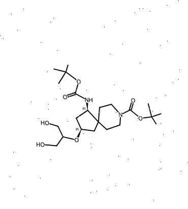 CC(C)(C)OC(=O)N[C@@H]1C[C@H](OC(CO)CO)CC12CCN(C(=O)OC(C)(C)C)CC2